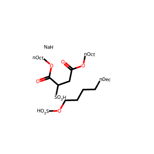 CCCCCCCCCCCCCCOS(=O)(=O)O.CCCCCCCCOC(=O)CC(C(=O)OCCCCCCCC)S(=O)(=O)O.[NaH]